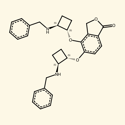 O=C1OCc2c1ccc(O[C@H]1CC[C@@H]1NCc1ccccc1)c2O[C@H]1CC[C@@H]1NCc1ccccc1